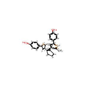 Cc1sc(-c2ccc(O)cc2)cc1C1=C(c2cc(-c3ccc(O)cc3)sc2C)CCC1